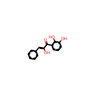 O=C(C(O)=Cc1ccccc1)c1cccc(O)c1O